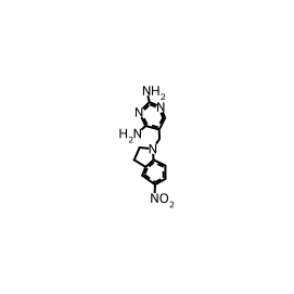 Nc1ncc(CN2CCc3cc([N+](=O)[O-])ccc32)c(N)n1